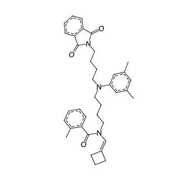 Cc1cc(C)cc(N(CCCCN(C=C2CCC2)C(=O)c2ccccc2C)CCCCN2C(=O)c3ccccc3C2=O)c1